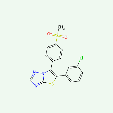 CS(=O)(=O)c1ccc(-c2c(-c3cccc(Cl)c3)sc3ncnn23)cc1